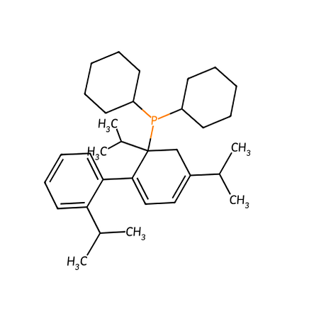 CC(C)C1=CC=C(c2ccccc2C(C)C)C(C(C)C)(P(C2CCCCC2)C2CCCCC2)C1